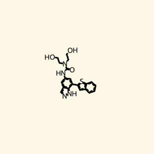 O=C(Nc1cc(-c2cc3ccccc3s2)c2[nH]ncc2c1)N(CCO)CCO